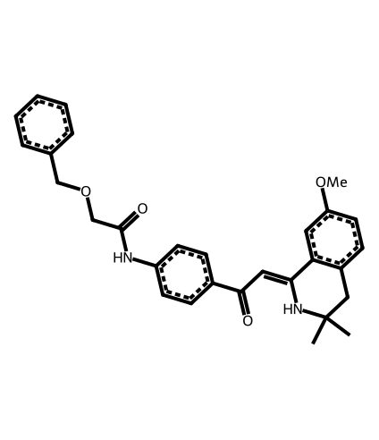 COc1ccc2c(c1)C(=CC(=O)c1ccc(NC(=O)COCc3ccccc3)cc1)NC(C)(C)C2